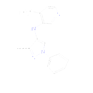 Cc1nn(-c2ccccc2)cc1Nc1cnccc1C(=O)O